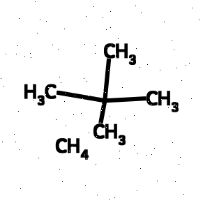 C.CC(C)(C)C